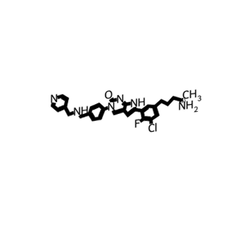 C[C@H](N)CCCc1cc(Cl)c(F)c(-c2cc3cn(-c4ccc(CNCc5ccncc5)cc4)c(=O)nc3[nH]2)c1